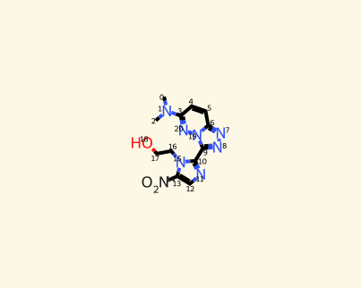 CN(C)c1ccc2nnc(-c3ncc([N+](=O)[O-])n3CCO)n2n1